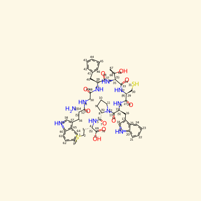 CSCC[C@H](NC(=O)[C@@H]1CCCN1C(=O)[C@H](Cc1c[nH]c2ccccc12)NC(=O)[C@H](CS)NC(=O)[C@@H](NC(=O)[C@H](Cc1ccccc1)NC(=O)CNC(=O)[C@@H](N)Cc1c[nH]c2ccccc12)[C@@H](C)O)C(=O)O